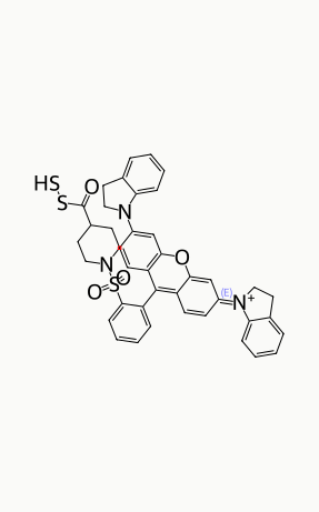 O=C(SS)C1CCN(S(=O)(=O)c2ccccc2-c2c3cc/c(=[N+]4/CCc5ccccc54)cc-3oc3cc(N4CCc5ccccc54)ccc23)CC1